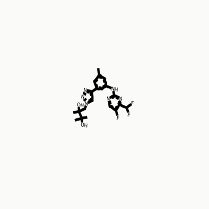 Cc1cc(Nc2ncc(F)c(C(F)F)n2)cc(-c2cn(CC(C)(O)C(C)(C)O)nn2)c1